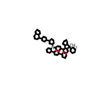 CC1(c2ccccc2)c2ccccc2-c2c(-c3ccc(N(c4cccc(-c5ccc(-c6cccc7ccccc67)cc5)c4)c4ccccc4-c4ccc(-c5ccccc5)cc4)cc3)cccc21